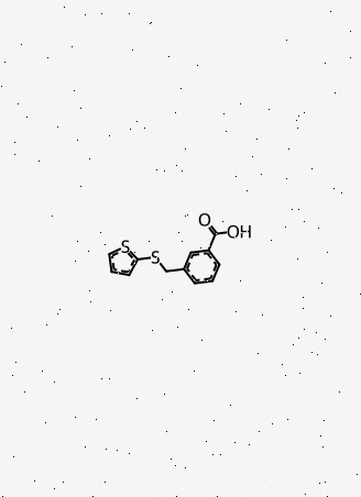 O=C(O)c1cccc(CSc2cccs2)c1